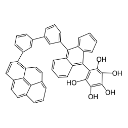 Oc1c(O)c(O)c(-c2c3ccccc3c(-c3cccc(-c4cccc(-c5ccc6ccc7cccc8ccc5c6c78)c4)c3)c3ccccc23)c(O)c1O